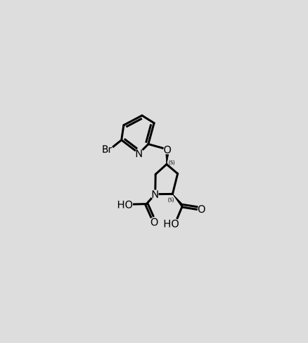 O=C(O)[C@@H]1C[C@H](Oc2cccc(Br)n2)CN1C(=O)O